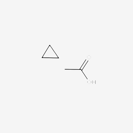 C1CC1.CC(=O)O